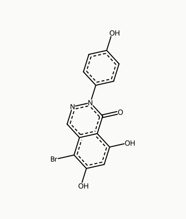 O=c1c2c(O)cc(O)c(Br)c2cnn1-c1ccc(O)cc1